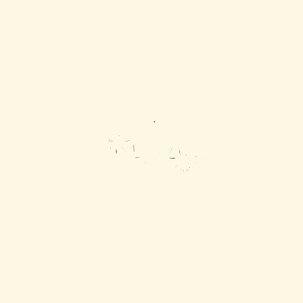 CCCCP(=O)(CCCOc1cc2c(cc1OC)C(=O)N1CC(F)C[C@H]1CN2)CCCOc1cc2c(cc1OC)C(=O)N1CC(F)C[C@H]1C(S(=O)(=O)O)N2